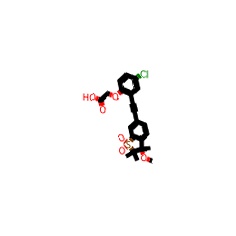 COC1(C)c2ccc(C#Cc3cc(Cl)ccc3OCC(=O)O)cc2S(=O)(=O)C1(C)C